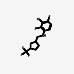 Fc1ccc(NCC2CCC(C(F)(F)F)C2)c(F)c1Cl